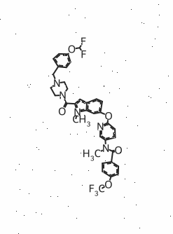 CN(C(=O)c1ccc(OC(F)(F)F)cc1)c1ccc(Oc2ccc3cc(C(=O)N4CCN(Cc5ccc(OC(F)F)cc5)CC4)n(C)c3c2)nc1